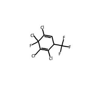 FC1(Cl)C(Cl)=CC(C(F)(F)F)C(Cl)=C1Cl